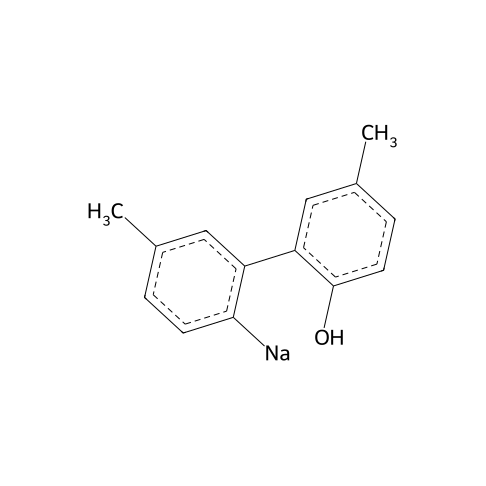 Cc1ccc(O)c(-c2cc(C)cc[c]2[Na])c1